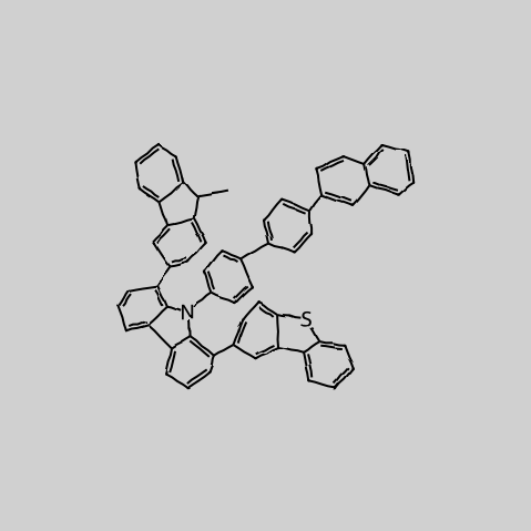 CC1c2ccccc2-c2cc(-c3cccc4c5cccc(-c6ccc7sc8ccccc8c7c6)c5n(-c5ccc(-c6ccc(-c7ccc8ccccc8c7)cc6)cc5)c34)ccc21